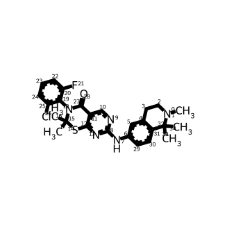 CN1CCc2cc(Nc3ncc4c(n3)SC(C)(C)N(c3c(F)cccc3Cl)C4=O)ccc2C1(C)C